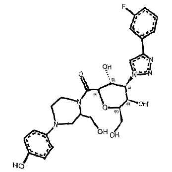 O=C([C@@H]1O[C@H](CO)[C@H](O)[C@H](n2cc(-c3cccc(F)c3)nn2)[C@H]1O)N1CCN(c2ccc(O)cc2)CC1CO